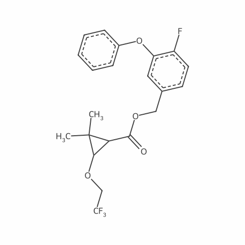 CC1(C)C(OCC(F)(F)F)C1C(=O)OCc1ccc(F)c(Oc2ccccc2)c1